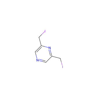 ICc1cncc(CI)n1